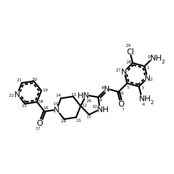 Nc1nc(N)c(C(=O)/N=C2\NCC3(CCN(C(=O)c4cccnc4)CC3)N2)nc1Cl